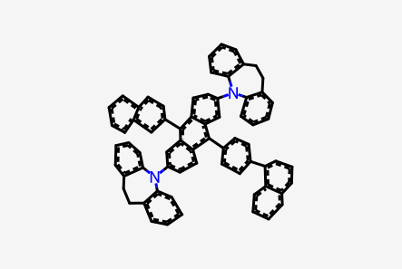 c1ccc2c(c1)CCc1ccccc1N2c1ccc2c(-c3ccc4ccccc4c3)c3cc(N4c5ccccc5CCc5ccccc54)ccc3c(-c3ccc(-c4cccc5ccccc45)cc3)c2c1